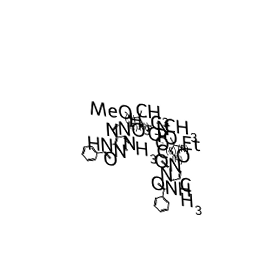 CC[C@H]1O[C@@H](n2cc(C)c(NC(=O)c3ccccc3)nc2=O)[C@@H](C)C1OP(=O)(OC[C@H]1O[C@@H](n2cnc3c(NC(=O)c4ccccc4)ncnc32)[C@@H](OC)C1C)N(C)C